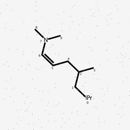 CC(C)CC(C)C/C=C\N(C)C